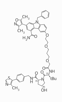 Cc1ncsc1-c1ccc(CNC(=O)[C@@H]2C[C@@H](O)CN2C(=O)[C@@H](NC(=O)COCCCOCCOc2ccc3c(c2)c2c(C(N)=O)cc(-c4c(C)noc4C)cc2n3Cc2ccccc2)C(C)(C)C)cc1